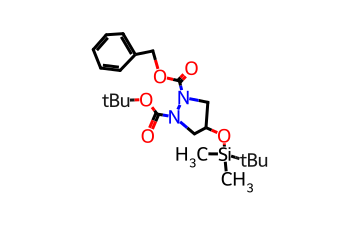 CC(C)(C)OC(=O)N1CC(O[Si](C)(C)C(C)(C)C)CN1C(=O)OCc1ccccc1